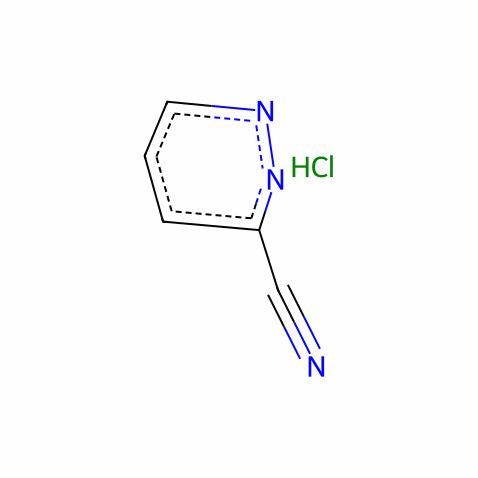 Cl.N#Cc1cccnn1